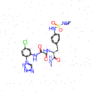 CCNS(=O)(=O)Nc1ccc(C[C@H](NC(=O)C(=O)Nc2cc(Cl)ccc2-n2cnnn2)C(=O)NC)cc1